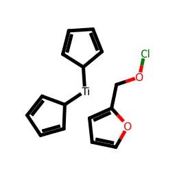 C1=C[CH]([Ti][CH]2C=CC=C2)C=C1.ClOCc1ccco1